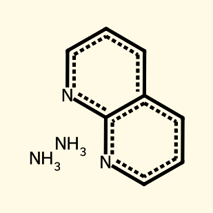 N.N.c1cnc2ncccc2c1